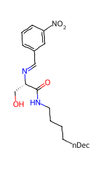 CCCCCCCCCCCCCCNC(=O)[C@H](CO)/N=C/c1cccc([N+](=O)[O-])c1